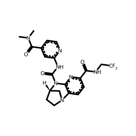 CN(C)C(=O)c1ccnc(NC(=O)N2c3nc(C(=O)NCC(F)(F)F)ccc3N3CC[C@H]2C3)c1